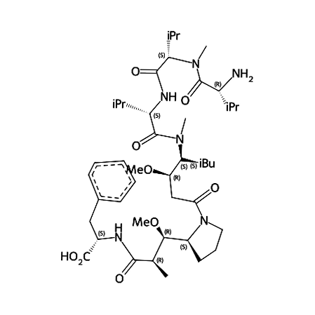 CC[C@H](C)[C@@H]([C@@H](CC(=O)N1CCC[C@H]1[C@H](OC)[C@@H](C)C(=O)N[C@@H](Cc1ccccc1)C(=O)O)OC)N(C)C(=O)[C@@H](NC(=O)[C@H](C(C)C)N(C)C(=O)[C@H](N)C(C)C)C(C)C